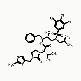 Cc1nc(CN2CCN([C@H](C(=O)N[C@@H](Cc3ccccc3)[C@@H](O)CN(CC(C)C)S(=O)(=O)c3cc(Cl)c(O)c(Cl)c3)C(C)C)C2=O)cs1